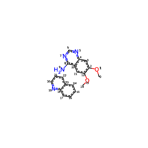 COc1cc2ncnc(N)c2cc1OC.c1ccc2ncccc2c1